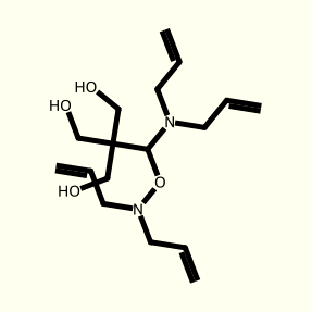 C=CCN(CC=C)OC(N(CC=C)CC=C)C(CO)(CO)CO